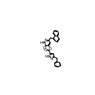 O=C(Oc1cc(Cc2cccc3ccccc23)n[nH]c1=O)c1cc(Cc2ccccc2)n[nH]1